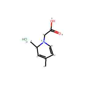 CC1=CC(C)N(CC(=O)O)C=C1.Cl